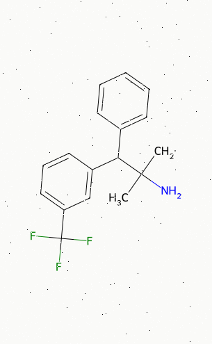 [CH2]C(C)(N)C(c1ccccc1)c1cccc(C(F)(F)F)c1